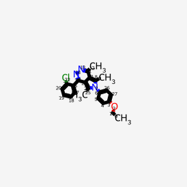 CCOc1ccc(-n2c(C)c3c(C)nnc(-c4ccccc4Cl)c3c2C)cc1